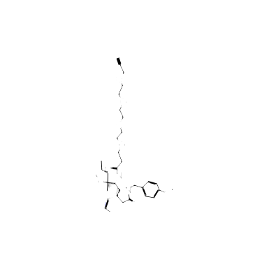 C#CCOCCOCCOCCOCCC(=O)N[C@H]([C@H]1[C@H](/C=C\C)CC(=O)N1Cc1ccc(OC)cc1)C(C)(CCC)OC